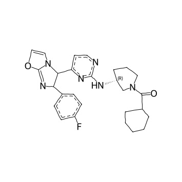 O=C(C1CCCCC1)N1CCC[C@@H](Nc2nccc(C3C(c4ccc(F)cc4)N=C4OC=CN43)n2)C1